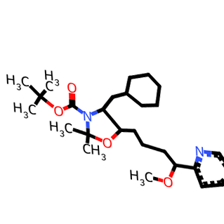 COC(CCCC1OC(C)(C)N(C(=O)OC(C)(C)C)C1CC1CCCCC1)c1ccccn1